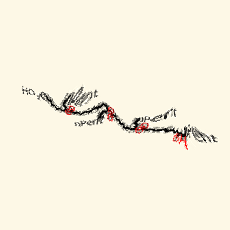 CCCCC/C=C\CC(O)CCCCCCCCC(=O)OC(C/C=C\CCCCC)CCCCCCCCC(=O)OC(C/C=C\CCCCC)CCCCCCCCC(=O)OC(C/C=C\CCCCC)CCCCCCCCC(=O)O